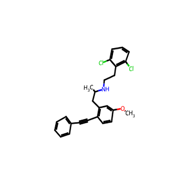 COc1ccc(C#Cc2ccccc2)c(CC(C)NCCc2c(Cl)cccc2Cl)c1